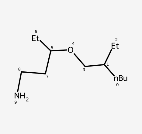 CCCCC(CC)COC(CC)CCN